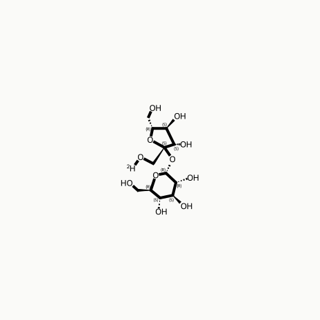 [2H]OC[C@@]1(O[C@H]2O[C@H](CO)[C@@H](O)[C@H](O)[C@H]2O)O[C@H](CO)[C@@H](O)[C@@H]1O